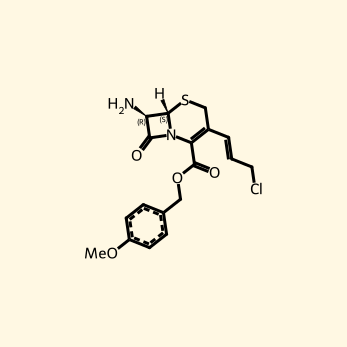 COc1ccc(COC(=O)C2=C(C=CCCl)CS[C@H]3[C@H](N)C(=O)N23)cc1